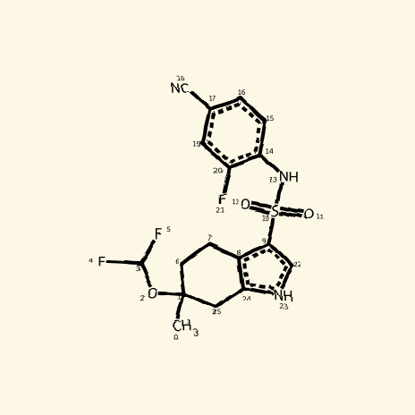 CC1(OC(F)F)CCc2c(S(=O)(=O)Nc3ccc(C#N)cc3F)c[nH]c2C1